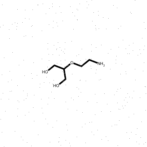 NCCOC(CO)CO